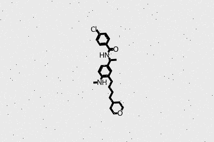 CNc1ccc(C(C)NC(=O)c2ccc(Cl)cc2)cc1CCCCC1CCOCC1